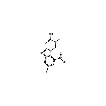 CC(Cc1c[nH]c2cc(F)cc([N+](=O)[O-])c12)C(=O)O